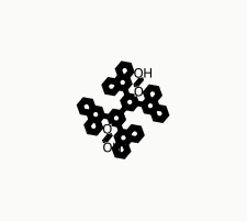 OCCOc1c(-c2cc3ccccc3c3ccccc23)cc(-c2cc(-c3cc4ccccc4c4ccccc34)c(OCCO)c(-c3cc4ccccc4c4ccccc34)c2)cc1-c1cc2ccccc2c2ccccc12